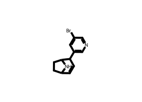 Brc1cncc(C2C=CC3CCC2N3)c1